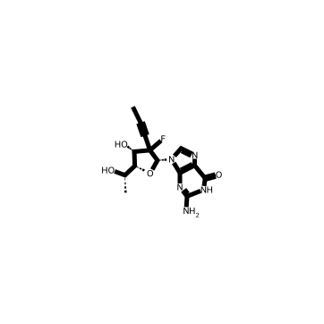 CC#CC1(F)[C@@H](O)[C@@H]([C@H](C)O)O[C@H]1n1cnc2c(=O)[nH]c(N)nc21